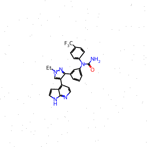 CCn1cc(-c2ccnc3[nH]ccc23)c(-c2cccc(N(C(N)=O)c3ccc(C(F)(F)F)cc3)c2)n1